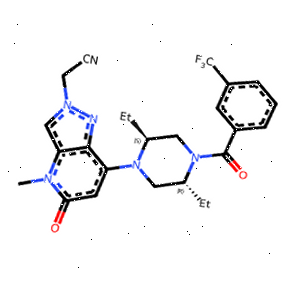 CC[C@@H]1CN(c2cc(=O)n(C)c3cn(CC#N)nc23)[C@@H](CC)CN1C(=O)c1cccc(C(F)(F)F)c1